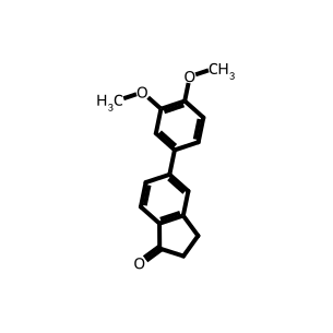 COc1ccc(-c2ccc3c(c2)CCC3=O)cc1OC